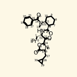 CC(C)C[C@H](NC(=O)[C@@H]1CCCC[C@@H]1N(C)C(=O)c1ccccc1)C(=O)c1nn(CC2CC2)c(=O)o1